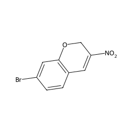 O=[N+]([O-])C1=Cc2ccc(Br)cc2OC1